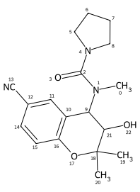 CN(C(=O)N1CCCC1)C1c2cc(C#N)ccc2OC(C)(C)C1O